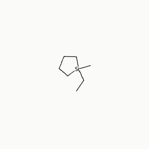 CC[Si]1(C)CCCC1